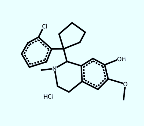 COc1cc2c(cc1O)C(C1(c3ccccc3Cl)CCCC1)N(C)CC2.Cl